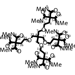 CNC(=O)C(CCOCC(COCCC(C(=O)NC)(C(=O)NC)C(=O)NC)(COCCC(C(=O)NC)(C(=O)NC)C(=O)NC)COCCC(C(=O)NC)(C(=O)NC)C(=O)NC)(C(=O)NC)C(=O)NC